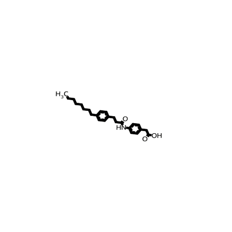 CCCCCCCCc1ccc(CCC(=O)Nc2ccc(CC(=O)O)cc2)cc1